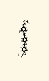 CCCc1cc(F)c(C#Cc2ccc(N=Nc3ccc(OC)cc3)cc2)c(F)c1